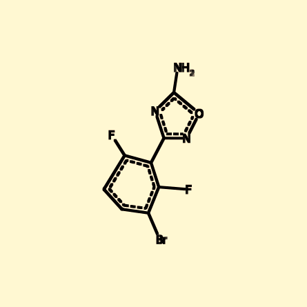 Nc1nc(-c2c(F)ccc(Br)c2F)no1